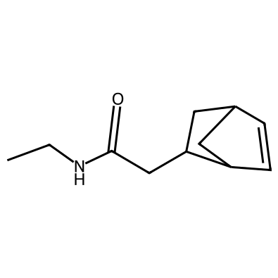 CCNC(=O)CC1CC2C=CC1C2